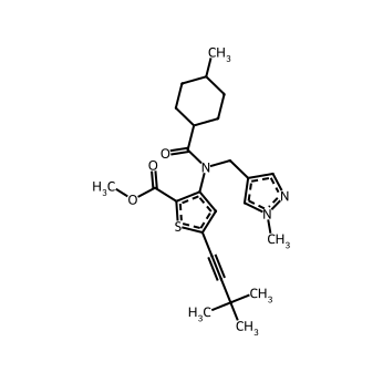 COC(=O)c1sc(C#CC(C)(C)C)cc1N(Cc1cnn(C)c1)C(=O)C1CCC(C)CC1